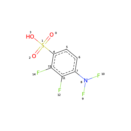 O=S(=O)(O)c1ccc(N(F)F)c(F)c1F